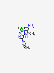 C[C@@H](Nc1nc(Cl)nc2ncc(N3CCN(C)CC3)cc12)c1cc(N)cc(C(F)(F)F)c1